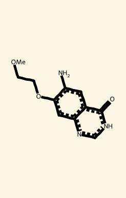 COCCOc1cc2nc[nH]c(=O)c2cc1N